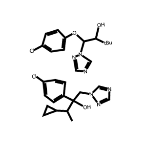 CC(C)(C)C(O)C(Oc1ccc(Cl)cc1)n1cncn1.CC(C1CC1)C(O)(Cn1cncn1)c1ccc(Cl)cc1